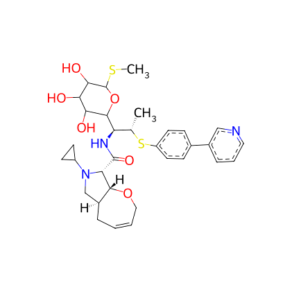 CSC1OC([C@H](NC(=O)[C@@H]2[C@@H]3OCC=CC[C@H]3CN2C2CC2)[C@H](C)Sc2ccc(-c3cccnc3)cc2)C(O)C(O)C1O